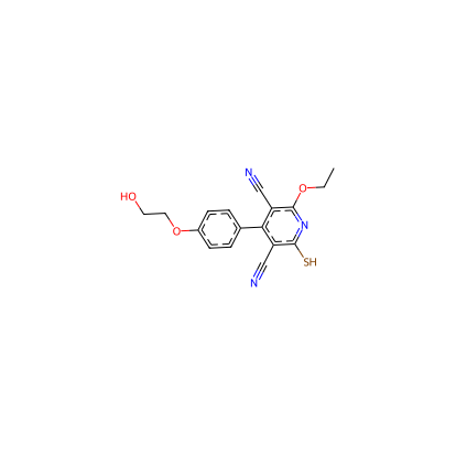 CCOc1nc(S)c(C#N)c(-c2ccc(OCCO)cc2)c1C#N